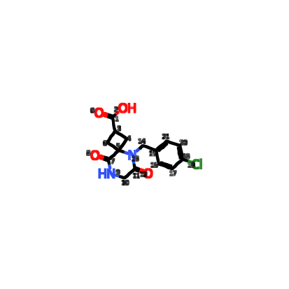 O=C(O)C1CC2(C1)C(=O)NCC(=O)N2Cc1ccc(Cl)cc1